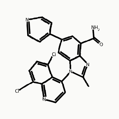 Cc1nc2c(C(N)=O)cc(-c3ccncc3)cc2n1-c1ccnc2c(Cl)ccc(Cl)c12